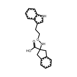 O=C(O)C1(NOCCc2c[nH]c3ccccc23)Cc2ccccc2C1